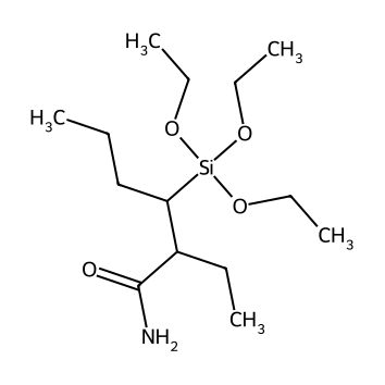 CCCC(C(CC)C(N)=O)[Si](OCC)(OCC)OCC